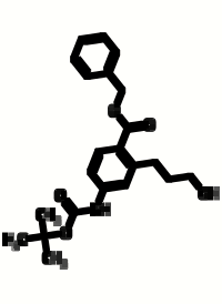 CC(C)(C)OC(=O)Nc1ccc(C(=O)OCc2ccccc2)c(CCCO)c1